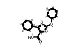 O=C(O)c1sc(Oc2cccnc2)nc1-c1ccccc1